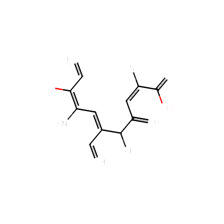 C=C/C(O)=C(\C=C(/C=C)C(C(=C)/C=C(\C(=C)O)[N+](=O)[O-])C(F)(F)F)[N+](=O)[O-]